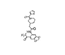 CC(=O)c1cc2c(cc1NC(=O)CC1CCCN(C(=O)c3cccs3)C1)OCO2